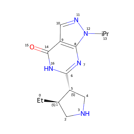 CC[C@@H]1CNC[C@H]1c1nc2c(cnn2C(C)C)c(=O)[nH]1